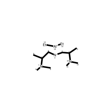 CC(C[N-]CC(C)N(C)C)N(C)C.C[CH2][Al+][CH2]C